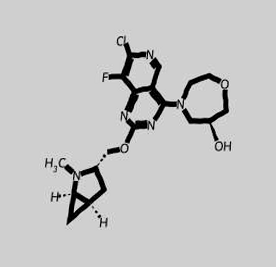 CN1[C@H](COc2nc(N3CCOC[C@@H](O)C3)c3cnc(Cl)c(F)c3n2)C[C@H]2C[C@H]21